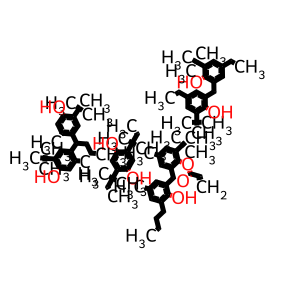 C=CC(=O)Oc1c(Cc2cc(C)cc(CCCC)c2O)cc(C)cc1C(C)(C)C.CCC(C)(C)c1cc(O)c(C(C)(C)CC)cc1O.CCCC(c1cc(C(C)(C)C)c(O)cc1C)c1cc(C(C)(C)C)c(O)cc1C.CCc1cc(Cc2cc(CC)cc(C(C)(C)C)c2O)c(O)c(C(C)(C)C)c1